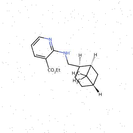 CCOC(=O)c1cccnc1NC[C@@H]1CC[C@H]2C[C@H]1C2(C)C